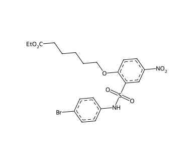 CCOC(=O)CCCCCOc1ccc([N+](=O)[O-])cc1S(=O)(=O)Nc1ccc(Br)cc1